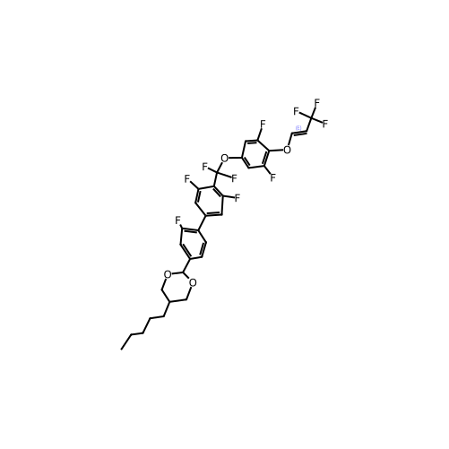 CCCCCC1COC(c2ccc(-c3cc(F)c(C(F)(F)Oc4cc(F)c(O/C=C/C(F)(F)F)c(F)c4)c(F)c3)c(F)c2)OC1